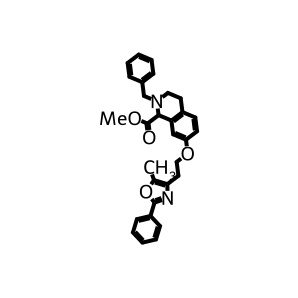 COC(=O)C1c2cc(OCCc3nc(-c4ccccc4)oc3C)ccc2CCN1Cc1ccccc1